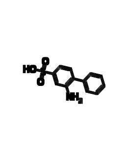 Nc1cc(S(=O)(=O)O)ccc1-c1ccccc1